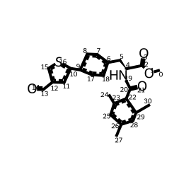 COC(=O)[C@H](Cc1ccc(-c2cc(C=O)cs2)cc1)NC(=O)c1c(C)cc(C)cc1C